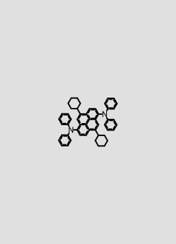 c1ccc(N(c2ccccc2)c2ccc3c(C4CCCCC4)cc4c(N(c5ccccc5)c5ccccc5)ccc5c(C6CCCCC6)cc2c3c54)cc1